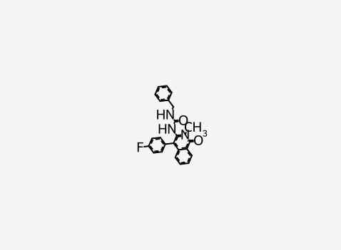 Cn1c(NC(=O)NCc2ccccc2)c(-c2ccc(F)cc2)c2ccccc2c1=O